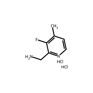 Cc1ccnc(CN)c1F.Cl.Cl